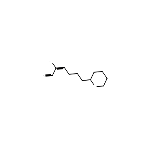 N#C/C(C=N)=C/CCCC1CCCCO1